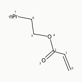 C=CC(=O)OCC[CH]CC